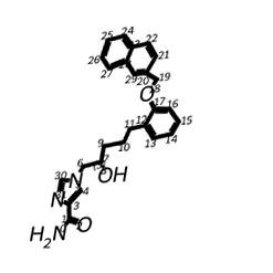 NC(=O)c1cn(C[C@@H](O)CCCc2ccccc2OCc2ccc3ccccc3c2)cn1